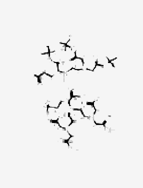 CC(C)(C)OC(=O)CN(CCN[C@@H](CCC(=O)O)C(=O)OC(C)(C)C)CC(=O)OC(C)(C)C.O=C(O)CC[C@@H](C(=O)O)N(CCN(CC(=O)O)CC(=O)O)CCN(CC(=O)O)CC(=O)O